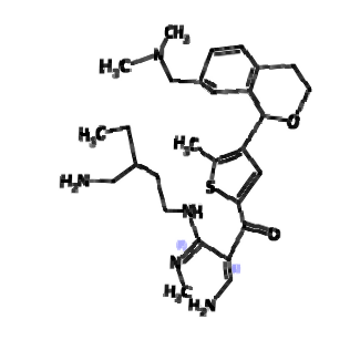 CCC(CN)CCNC(=N/C)/C(=C\N)C(=O)c1cc(C2OCCc3ccc(CN(C)C)cc32)c(C)s1